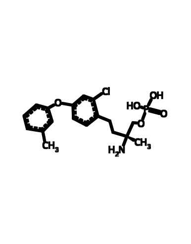 Cc1cccc(Oc2ccc(CC[C@@](C)(N)COP(=O)(O)O)c(Cl)c2)c1